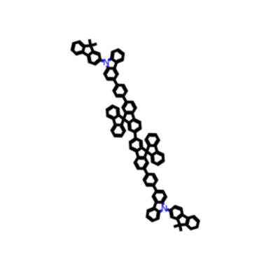 CC1(C)C2=C(C=CCC2)c2ccc(-n3c4ccccc4c4cc(-c5ccc(-c6ccc7c(c6)C6(c8ccccc8-c8ccccc86)c6cc(-c8ccc9c(c8)C8(c%10ccccc%10-c%10ccccc%108)c8cc(-c%10ccc(-c%11ccc%12c(c%11)c%11ccccc%11n%12-c%11ccc%12c(c%11)C(C)(C)c%11ccccc%11-%12)cc%10)ccc8-9)ccc6-7)cc5)ccc43)cc21